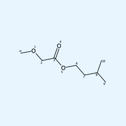 COCC(=O)OCCC(C)C